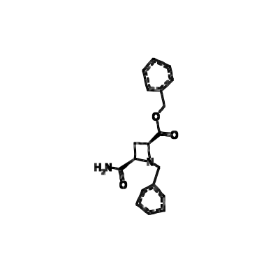 NC(=O)[C@H]1C[C@@H](C(=O)OCc2ccccc2)N1Cc1ccccc1